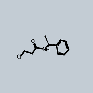 C[C@H](NC(=O)CCCl)c1ccccc1